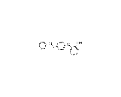 Oc1ccccc1Oc1ccc(COc2ccccc2)cc1